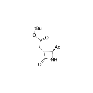 CC(=O)[C@H]1NC(=O)[C@@H]1CC(=O)OC(C)(C)C